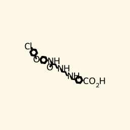 O=C(CCNCCCNCc1ccc(C(=O)O)cc1)Nc1ccc(Oc2ccc(Cl)cc2)cc1